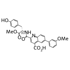 COC(=O)[C@H](Cc1ccc(O)cc1)NC(=O)c1cc(C(=O)O)c2cc(-c3cccc(OC)c3)ccc2n1